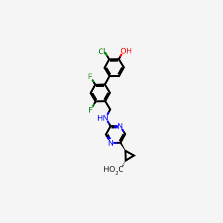 O=C(O)[C@H]1C[C@@H]1c1cnc(NCc2cc(-c3ccc(O)c(Cl)c3)c(F)cc2F)cn1